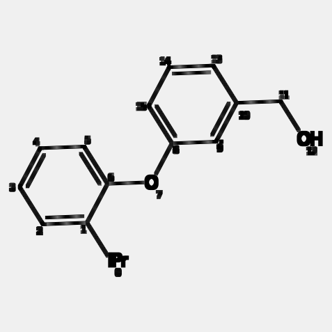 CC(C)c1ccccc1Oc1[c]c(CO)ccc1